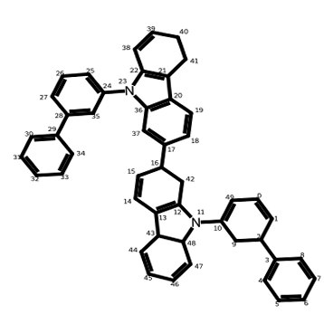 C1=CC(c2ccccc2)CC(N2C3=C(C=CC(c4ccc5c6c(n(-c7cccc(-c8ccccc8)c7)c5c4)C=CCC6)C3)C3C=CC=CC32)=C1